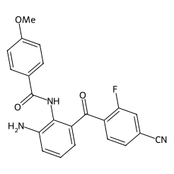 COc1ccc(C(=O)Nc2c(N)cccc2C(=O)c2ccc(C#N)cc2F)cc1